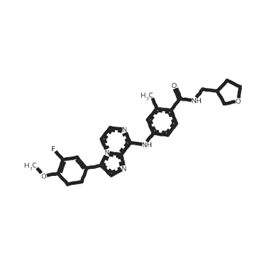 COC1=C(F)C=C(c2cnc3c(Nc4ccc(C(=O)NCC5CCOC5)c(C)c4)nccn23)CC1